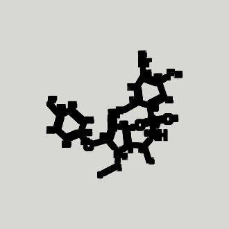 CCn1c(C(C)NS(=O)(=O)c2cc(F)c(Br)cc2F)cnc1Oc1ccc(C)cc1